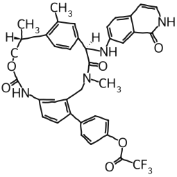 Cc1cc2ccc1[C@@H](C)COC(=O)Nc1ccc(-c3ccc(OC(=O)C(F)(F)F)cc3)c(c1)CN(C)C(=O)[C@@H]2Nc1ccc2cc[nH]c(=O)c2c1